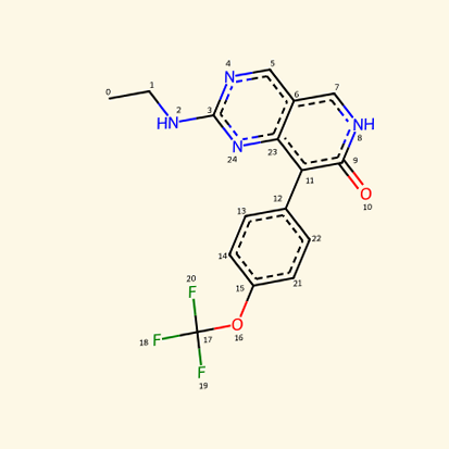 CCNc1ncc2c[nH]c(=O)c(-c3ccc(OC(F)(F)F)cc3)c2n1